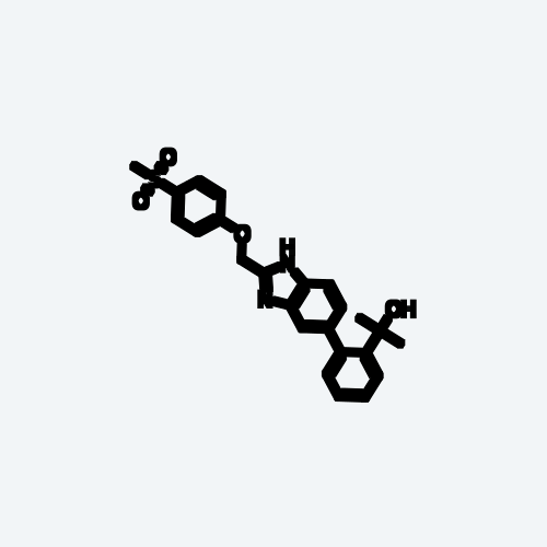 CC(C)(O)c1ccccc1-c1ccc2[nH]c(COc3ccc(S(C)(=O)=O)cc3)nc2c1